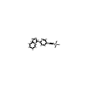 CS(C)(C)C#Cc1ccc(-c2nnc3ccccn23)nc1